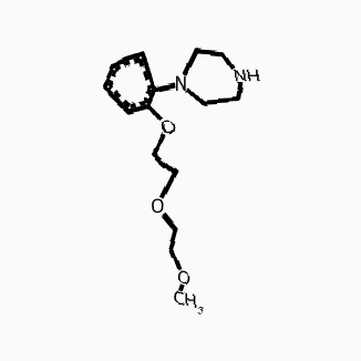 COCCOCCOc1ccccc1N1CCNCC1